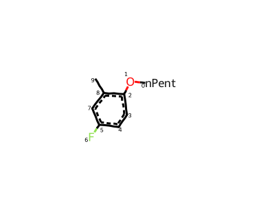 CCCCCOc1ccc(F)cc1C